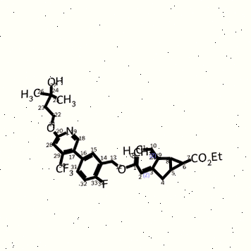 C=C(/C=C1/CC2C(C(=O)OCC)C2/C1=C/C)OCc1cc(-c2cnc(OCCC(C)(C)O)cc2C(F)(F)F)ccc1F